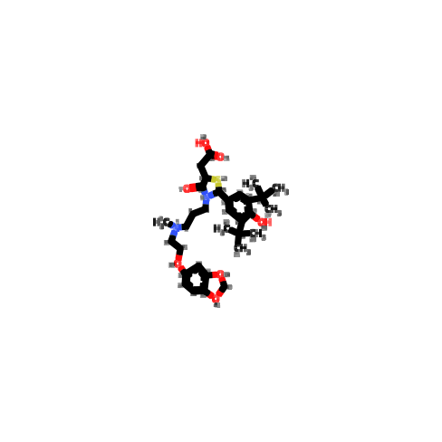 CN(CCCN1C(=O)C(CC(=O)O)SC1c1cc(C(C)(C)C)c(O)c(C(C)(C)C)c1)CCOc1ccc2c(c1)OCO2